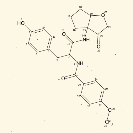 O=C(NC(Cc1ccc(O)cc1)C(=O)NC12CCCC1OCC2=O)c1ccc(OC(F)(F)F)cc1